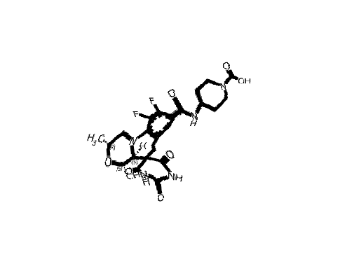 C[C@@H]1CN2c3c(cc(C(=O)NC4CCN(C(=O)O)CC4)c(F)c3F)CC3(C(=O)NC(=O)NC3=O)[C@H]2[C@H](C)O1